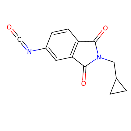 O=C=Nc1ccc2c(c1)C(=O)N(CC1CC1)C2=O